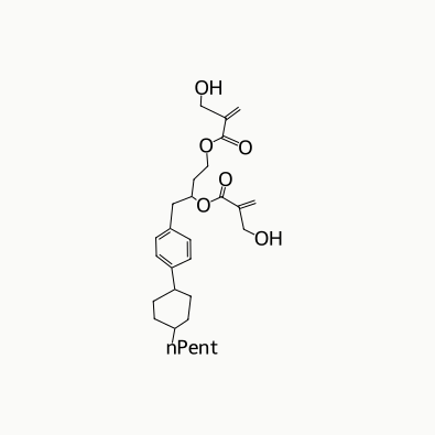 C=C(CO)C(=O)OCCC(Cc1ccc(C2CCC(CCCCC)CC2)cc1)OC(=O)C(=C)CO